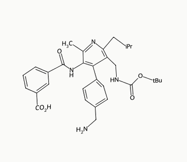 Cc1nc(CC(C)C)c(CNC(=O)OC(C)(C)C)c(-c2ccc(CN)cc2)c1NC(=O)c1cccc(C(=O)O)c1